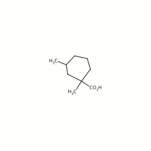 CC1CCCC(C)(C(=O)O)C1